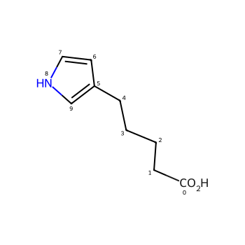 O=C(O)CCCCc1cc[nH]c1